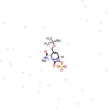 CC(C)(C)[Si](C)(C)OCC1=C[C@@H]2CN(C(=O)N2OS(=O)(=O)[O-])[C@@H]1C(N)=O.[Na+]